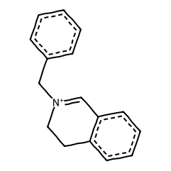 C1=[N+](Cc2ccccc2)CCc2ccccc21